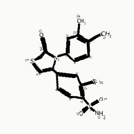 Cc1ccc(-n2c(-c3ccc(S(N)(=O)=O)c(F)c3)csc2=O)cc1C